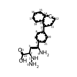 NNC(C=C(N)c1ccc(-c2cccc3ccccc23)cc1)C(=O)O